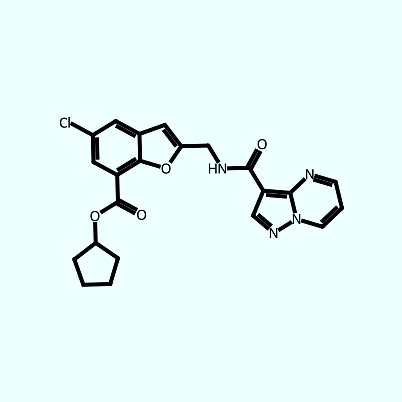 O=C(OC1CCCC1)c1cc(Cl)cc2cc(CNC(=O)c3cnn4cccnc34)oc12